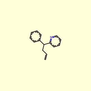 C=CCC(c1ccccc1)c1ccccn1